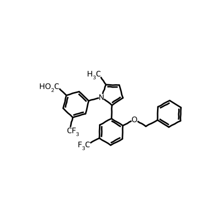 Cc1ccc(-c2cc(C(F)(F)F)ccc2OCc2ccccc2)n1-c1cc(C(=O)O)cc(C(F)(F)F)c1